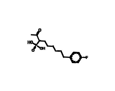 CC(=O)C(CCCCCCc1ccc(F)cc1)P(=O)(O)O